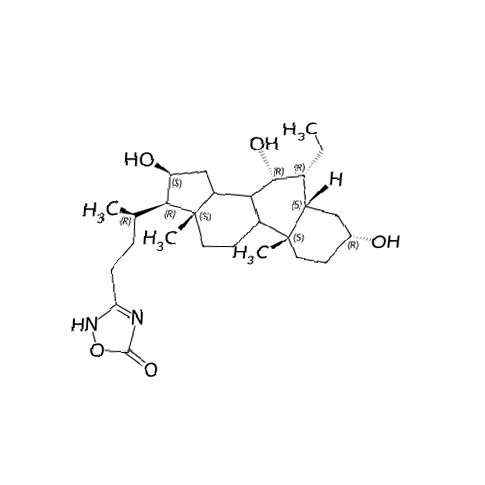 CC[C@H]1[C@@H](O)C2C3C[C@H](O)[C@H]([C@H](C)CCc4nc(=O)o[nH]4)[C@@]3(C)CCC2[C@@]2(C)CC[C@@H](O)C[C@@H]12